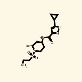 C[C@H]1CC(NC(=O)c2cc(C3CC3)on2)CCN1S(=O)(=O)CCN